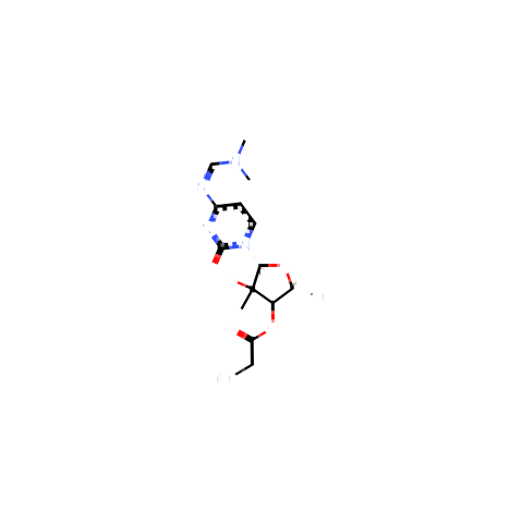 CC[C@H]1O[C@@H](n2ccc(/N=C\N(C)C)nc2=O)C(C)(O)C1OC(=O)CC(C)C